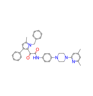 Cc1cc(C)nc(N2CCN(c3ccc(NC(=O)C(=O)c4c(-c5ccccc5)cc(C)n4Cc4ccccc4)cc3)CC2)c1